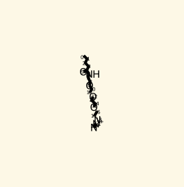 CCCCC(=O)NCCOCCOCCOCCN=[N+]=[N-]